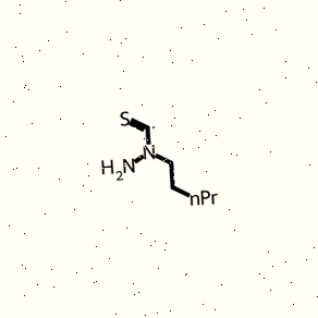 CCCCCN(N)[C]=S